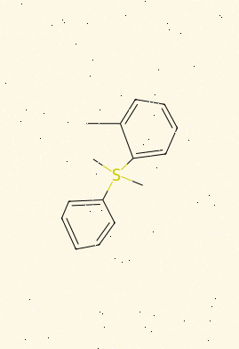 Cc1ccccc1S(C)(C)c1ccccc1